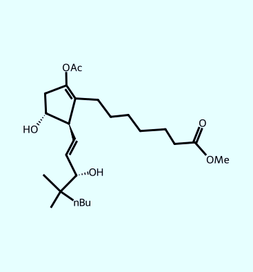 CCCCC(C)(C)[C@@H](O)/C=C/[C@@H]1C(CCCCCCC(=O)OC)=C(OC(C)=O)C[C@H]1O